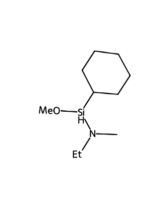 CCN(C)[SiH](OC)C1CCCCC1